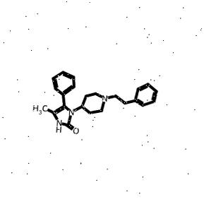 Cc1[nH]c(=O)n(C2CCN(CCc3ccccc3)CC2)c1-c1ccccc1